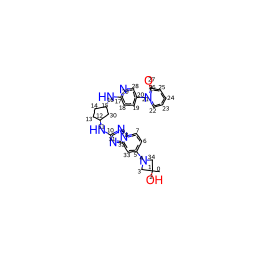 CC1(O)CN(c2ccn3nc(N[C@H]4CC[C@H](Nc5ccc(-n6ccccc6=O)cn5)C4)nc3c2)C1